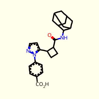 O=C(O)c1ccc(-n2nccc2C2CCC2C(=O)NC2C3CC4CC(C3)CC2C4)cc1